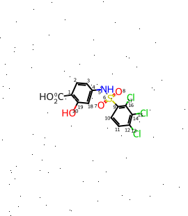 O=C(O)c1ccc(NS(=O)(=O)c2ccc(Cl)c(Cl)c2Cl)cc1O